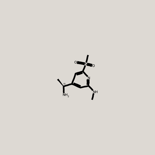 CNc1cc([C@H](C)N)cc(S(C)(=O)=O)n1